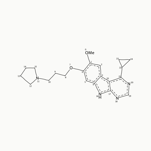 COc1cc2c(cc1OCCCN1CCCC1)[nH]c1ncnc(C3CC3)c12